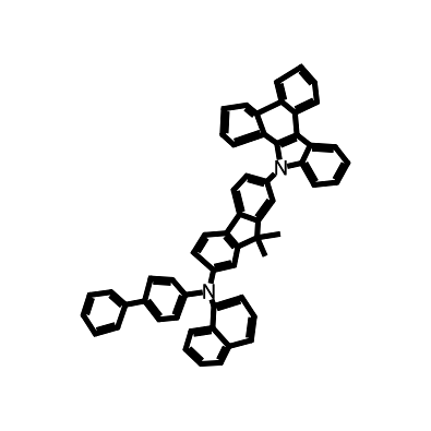 CC1(C)c2cc(N(c3ccc(-c4ccccc4)cc3)c3cccc4ccccc34)ccc2-c2ccc(-n3c4ccccc4c4c5ccccc5c5ccccc5c43)cc21